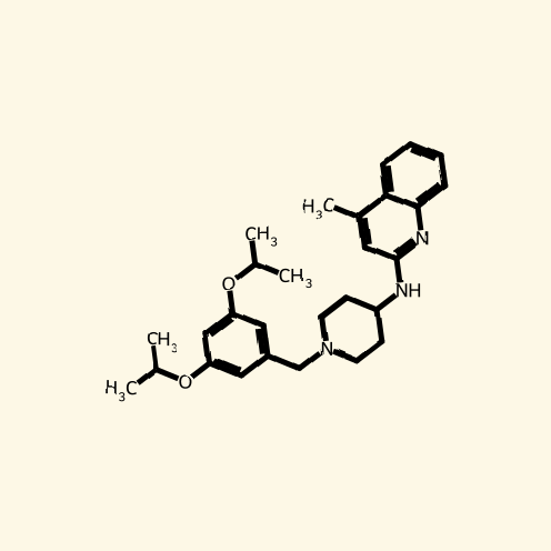 Cc1cc(NC2CCN(Cc3cc(OC(C)C)cc(OC(C)C)c3)CC2)nc2ccccc12